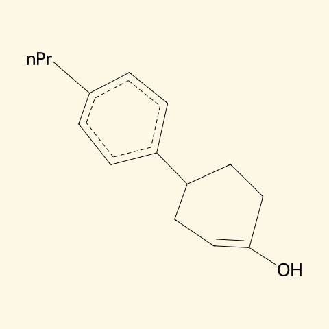 CCCc1ccc(C2CC=C(O)CC2)cc1